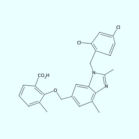 Cc1cccc(C(=O)O)c1OCc1cc(C)c2nc(C)n(Cc3ccc(Cl)cc3Cl)c2c1